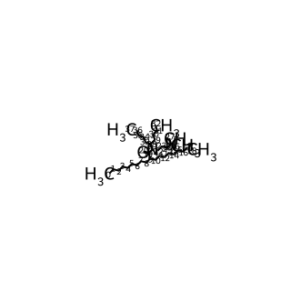 CCCCCCCCCC(CCCCCCCCC)C(=O)N(CCCN(C)C)C(CCCC)CCCCC